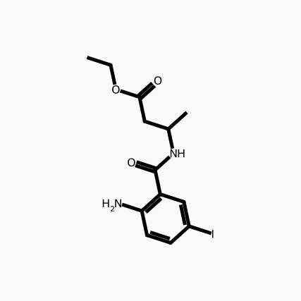 CCOC(=O)CC(C)NC(=O)c1cc(I)ccc1N